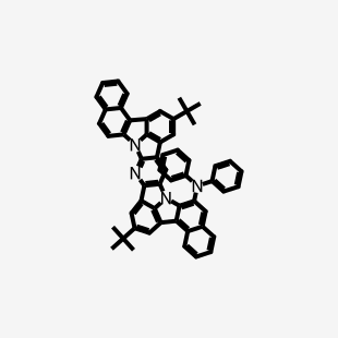 CC(C)(C)c1cc2c3cc4c(nc3n3c5ccc6ccccc6c5c(c1)c23)c1cc(C(C)(C)C)cc2c3c5ccccc5cc(N(c5ccccc5)c5ccccc5)c3n4c12